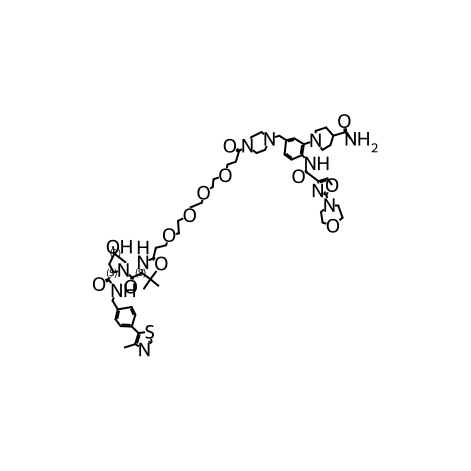 Cc1ncsc1-c1ccc(CNC(=O)[C@@H]2C[C@@H](O)CN2C(=O)[C@@H](NC(=O)CCOCCOCCOCCOCCC(=O)N2CCN(Cc3ccc(NC(=O)c4coc(N5CCOCC5)n4)c(N4CCC(C(N)=O)CC4)c3)CC2)C(C)(C)C)cc1